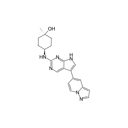 C[C@]1(O)CC[C@@H](Nc2ncc3c(-c4ccn5nccc5c4)c[nH]c3n2)CC1